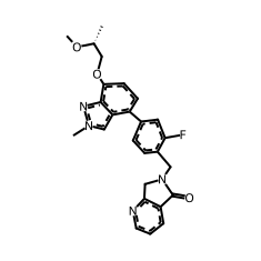 CO[C@H](C)COc1ccc(-c2ccc(CN3Cc4ncccc4C3=O)c(F)c2)c2cn(C)nc12